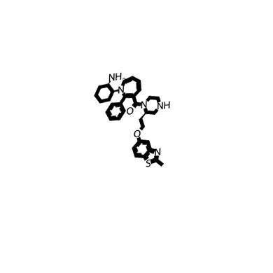 Cc1nc2cc(OCC[C@@H]3CNCCN3C(=O)C3=C(c4ccccc4)N([C@H]4CCCC[C@@H]4N)C=CC=C3)ccc2s1